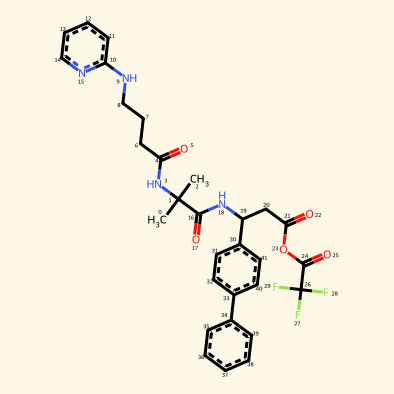 CC(C)(NC(=O)CCCNc1ccccn1)C(=O)NC(CC(=O)OC(=O)C(F)(F)F)c1ccc(-c2ccccc2)cc1